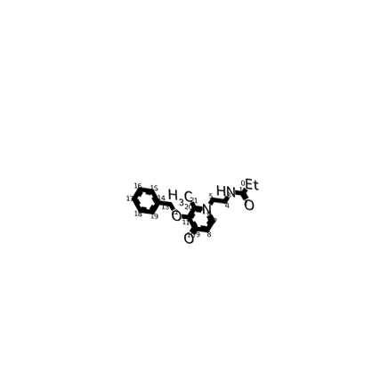 CCC(=O)NCCn1ccc(=O)c(OCc2ccccc2)c1C